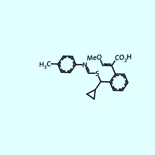 COC=C(C(=O)O)c1ccccc1C(SC=Nc1ccc(C)cc1)C1CC1